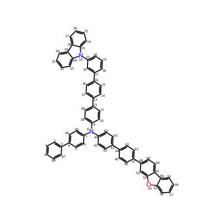 c1ccc(-c2ccc(N(c3ccc(-c4ccc(-c5cccc(-n6c7ccccc7c7ccccc76)c5)cc4)cc3)c3ccc(-c4ccc(-c5ccc6c(c5)oc5ccccc56)cc4)cc3)cc2)cc1